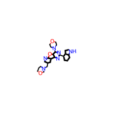 c1cc(-c2nc(N3CCOCC3)c3oc4ncc(CN5CCCOC5)cc4c3n2)c2cc[nH]c2c1